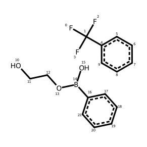 FC(F)(F)c1ccccc1.OCCOB(O)c1ccccc1